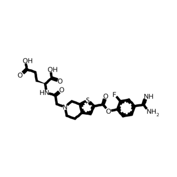 N=C(N)c1ccc(OC(=O)c2cc3c(s2)CN(CC(=O)N[C@@H](CCC(=O)O)C(=O)O)CC3)c(F)c1